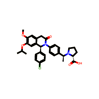 COc1cc2c(cc1OC(C)C)[C@H](c1ccc(Cl)cc1)N(c1ccc([C@H](C)N3CCC[C@@H]3C(=O)O)cc1)C(=O)C2